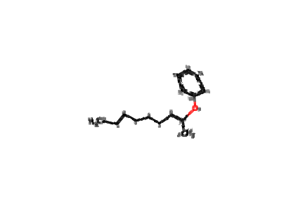 CCCCCCC[C](C)Oc1ccccc1